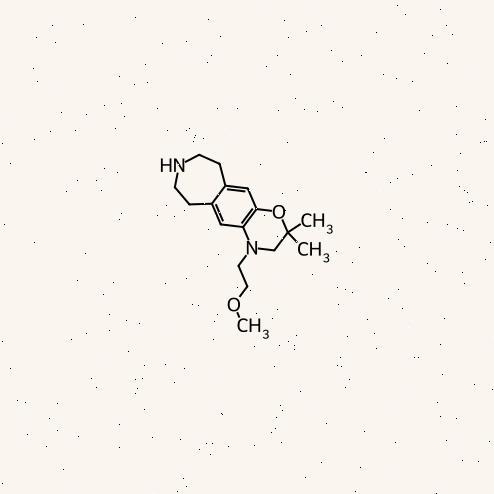 COCCN1CC(C)(C)Oc2cc3c(cc21)CCNCC3